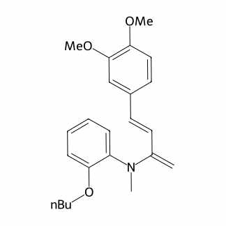 C=C(/C=C/c1ccc(OC)c(OC)c1)N(C)c1ccccc1OCCCC